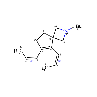 C/C=C\C1=C(/C=C\C)C2(CC1)CN(C(C)(C)C)C2